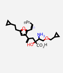 C=C(CC(O)(C(=O)O)C(N)COCC1CC1)c1cc(CCC2CC2)oc1/C=C\CCC